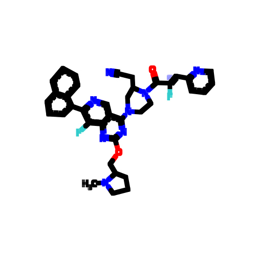 CN1CCCC1COc1nc(N2CCN(C(=O)/C(F)=C/c3ccccn3)C(CC#N)C2)c2cnc(-c3cccc4ccccc34)c(F)c2n1